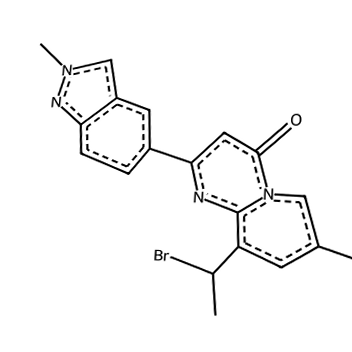 Cc1cc(C(C)Br)c2nc(-c3ccc4nn(C)cc4c3)cc(=O)n2c1